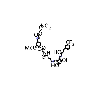 COc1cc(/C=C/C(=O)OCCO[N+](=O)[O-])ccc1OC(=O)CNC(=O)CCC/C=C\C[C@@H]1[C@@H](/C=C/[C@@H](O)CCc2cccc(C(F)(F)F)c2)[C@H](O)C[C@@H]1O